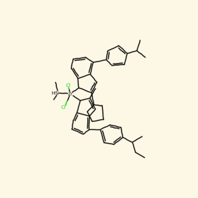 CCC(C)c1ccc(-c2cccc3c2C=C(C)[CH]3[Zr]([Cl])([Cl])([CH]2C(C3CCCC3)=Cc3c(-c4ccc(C(C)C)cc4)cccc32)[SiH](C)C)cc1